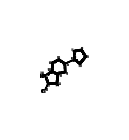 Clc1nc2cc(-n3cccc3)ccc2[nH]1